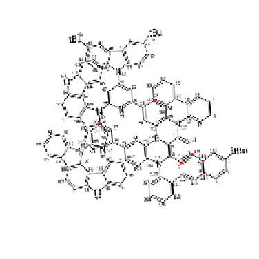 CC(C)(C)c1cccc(-c2cc3c4c(c2)N(c2ccccc2-c2ccccc2)c2ccc(-c5cc(-n6c7ccc(C(C)(C)C)cc7c7cc(C(C)(C)C)ccc76)cc(-n6c7ccccc7c7ccc8oc9ccccc9c8c76)n5)cc2B4c2cc(-c4cccc(-n5c6ccccc6c6ccc7oc8ccccc8c7c65)n4)ccc2N3c2ccccc2-c2ccccc2)c1